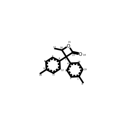 Cc1ccc(C2(c3ccc(C)cc3)C(=O)OC2C)cc1